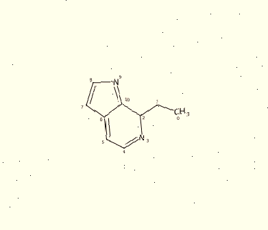 CCC1N=CC=C2C=CN=C21